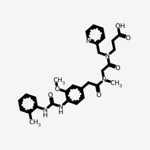 COc1cc(CC(=O)N(C)CC(=O)N(CCC(=O)O)Cc2ccccn2)ccc1NC(=O)Nc1ccccc1C